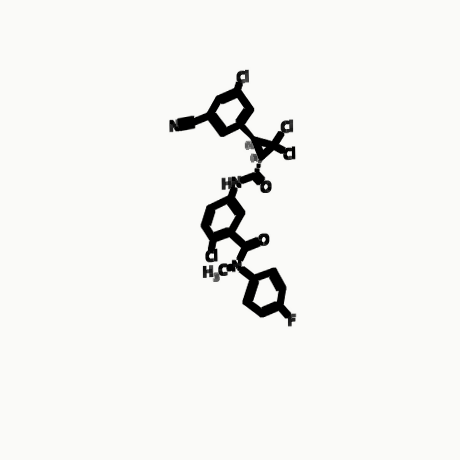 CN(C(=O)c1cc(NC(=O)[C@@H]2[C@@H](c3cc(Cl)cc(C#N)c3)C2(Cl)Cl)ccc1Cl)c1ccc(F)cc1